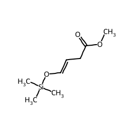 COC(=O)CC=CO[Si](C)(C)C